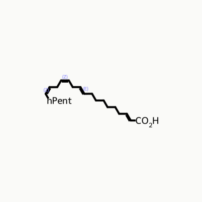 CCCCC/C=C\C/C=C\C/C=C/CCCCCCC=CC(=O)O